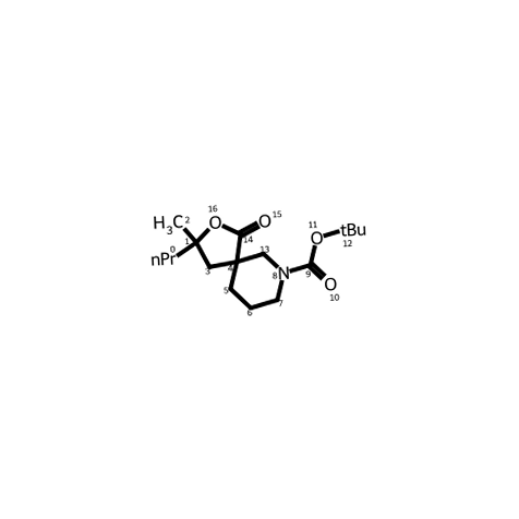 CCCC1(C)CC2(CCCN(C(=O)OC(C)(C)C)C2)C(=O)O1